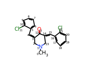 CN1CC(=Cc2ccccc2Cl)C(=O)C(=Cc2ccccc2Cl)C1